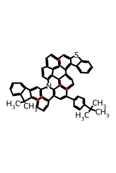 CC(C)(C)c1ccc(-c2ccc(N(c3ccc4c(c3)-c3ccccc3C4(C)C)c3ccc4ccccc4c3-c3ccccc3-c3cccc4sc5ccccc5c34)c(-c3ccccc3)c2)cc1